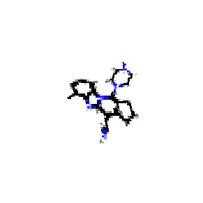 Cc1cccc2c1nc1c(C#N)c3c(c(N4CCNCC4)n12)CCC3